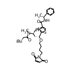 CC[C@H](C)CC(=O)N(C)[C@H](C[C@@H](OCCCCN1C(=O)C=CC1=O)c1nc(C(=O)N[C@H](C)c2ccccc2)cs1)C(C)C